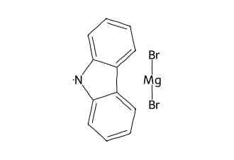 [Br][Mg][Br].c1ccc2c(c1)[N]c1ccccc1-2